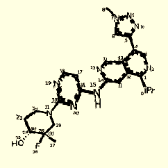 CC(C)c1ncc(-c2cn(C)nn2)c2cnc(Nc3ccnc(N4CC[C@@H](O)[C@@](C)(F)C4)n3)cc12